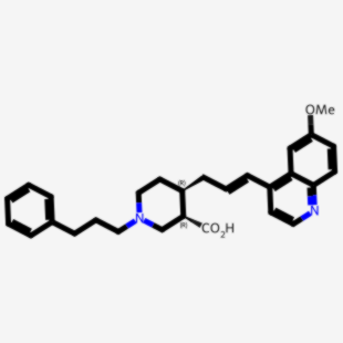 COc1ccc2nccc(C=CC[C@@H]3CCN(CCCc4ccccc4)C[C@@H]3C(=O)O)c2c1